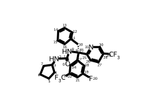 O=C(NC1CCCC1)N[C@](Cc1ccccc1)(c1cc(F)cc(C(F)(F)F)c1)c1ccc(C(F)(F)F)cn1